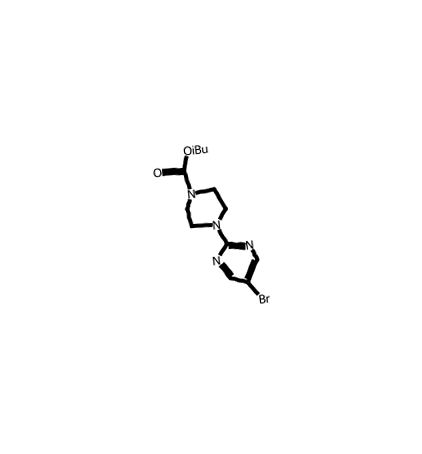 CC(C)COC(=O)N1CCN(c2ncc(Br)cn2)CC1